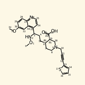 CONC(CC[C@@H]1CCN(CC#Cc2cccs2)C[C@@H]1C(=O)O)c1ccnc2ccc(OC)cc12